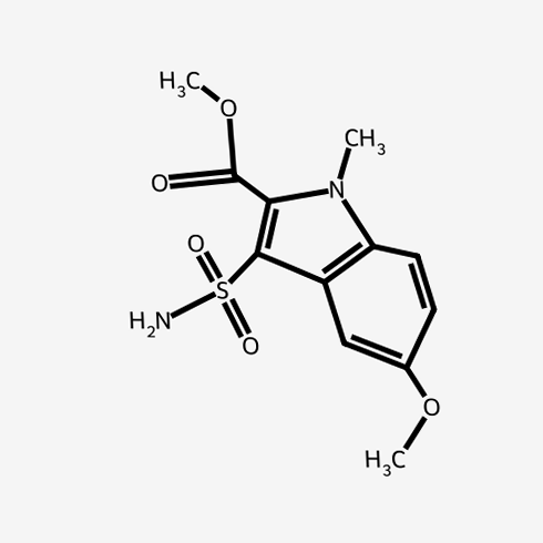 COC(=O)c1c(S(N)(=O)=O)c2cc(OC)ccc2n1C